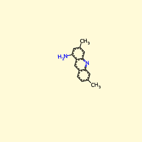 Cc1ccc2cc3c(N)cc(C)cc3nc2c1